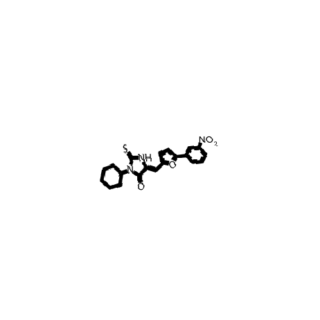 O=C1/C(=C/c2ccc(-c3cccc([N+](=O)[O-])c3)o2)NC(=S)N1C1CCCCC1